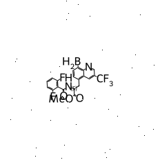 Bc1ccc(C[C@H](NC(=O)c2c(F)cccc2F)C(=O)OC)c2cc(C(F)(F)F)cnc12